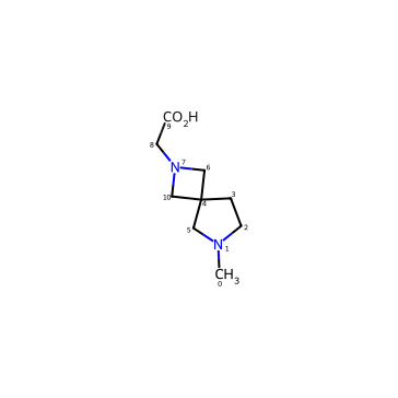 CN1CCC2(C1)CN(CC(=O)O)C2